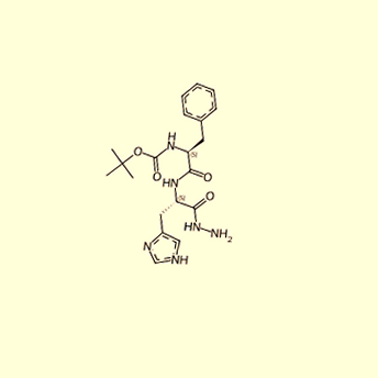 CC(C)(C)OC(=O)N[C@@H](Cc1ccccc1)C(=O)N[C@@H](Cc1c[nH]cn1)C(=O)NN